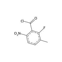 Cc1ccc([N+](=O)[O-])c(C(=O)Cl)c1F